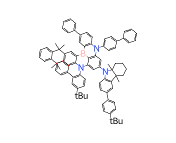 CC(C)(C)c1ccc(-c2ccc3c(c2)C2(C)CCCCC2(C)N3c2cc3c4c(c2)N(c2ccc(C(C)(C)C)cc2-c2ccccc2)c2cc5c(cc2B4c2cc(-c4ccccc4)ccc2N3c2ccc(-c3ccccc3)cc2)C(C)(C)c2ccccc2C5(C)C)cc1